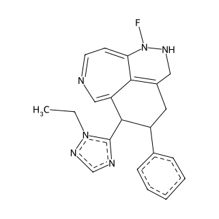 CCn1ncnc1C1C2=CN=CC=C3C2=C(CNN3F)CC1c1ccccc1